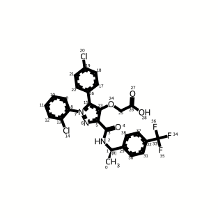 C[C@@H](NC(=O)c1nn(-c2ccccc2Cl)c(-c2ccc(Cl)cc2)c1OCC(=O)O)c1ccc(C(F)(F)F)cc1